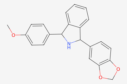 COc1ccc(C2NC(c3ccc4c(c3)OCO4)c3ccccc32)cc1